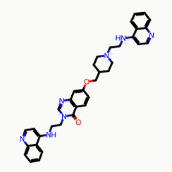 O=c1c2ccc(OCC3CCN(CCNc4ccnc5ccccc45)CC3)cc2ncn1CCNc1ccnc2ccccc12